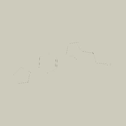 NNC(=O)c1csc(-c2ccc(N3CCCC3)cc2)n1